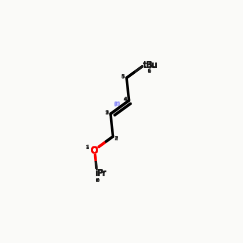 CC(C)OC/C=C/CC(C)(C)C